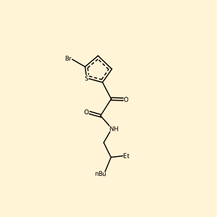 CCCCC(CC)CNC(=O)C(=O)c1ccc(Br)s1